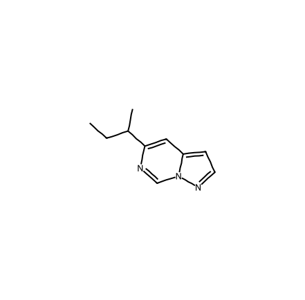 CCC(C)c1cc2ccnn2cn1